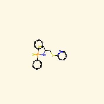 S=CC(CSc1ccccn1)NP(=S)(c1ccccc1)c1ccccc1